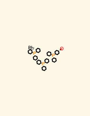 C=O.[Rh].c1ccc(P(c2ccccc2)c2ccccc2)cc1.c1ccc(P(c2ccccc2)c2ccccc2)cc1.c1ccc(P(c2ccccc2)c2ccccc2)cc1